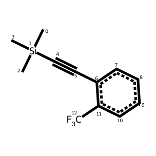 C[Si](C)(C)C#Cc1cc[c]cc1C(F)(F)F